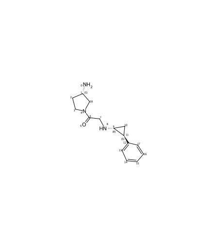 N[C@H]1CCN(C(=O)CN[C@@H]2C[C@H]2c2ccccc2)C1